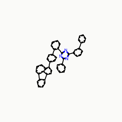 c1ccc(-c2cccc(-c3nc(-c4ccccc4)nc(-c4ccccc4-c4ccc(-c5ccc6c7c(cccc57)-c5ccccc5-6)cc4)n3)c2)cc1